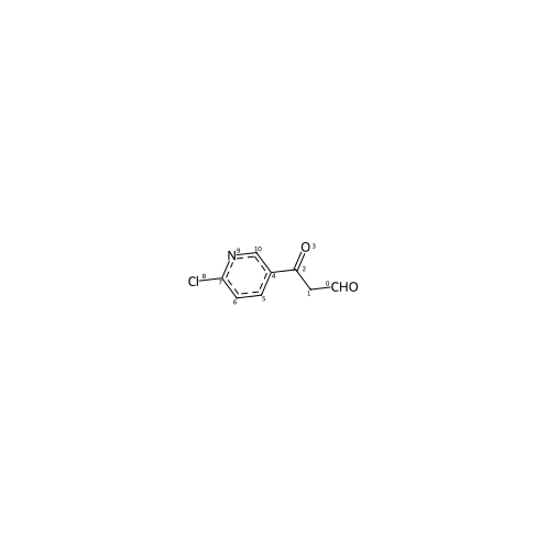 O=CCC(=O)c1ccc(Cl)nc1